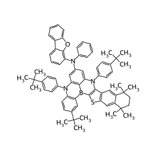 CC(C)(C)c1ccc(N2c3ccc(C(C)(C)C)cc3B3c4sc5cc6c(cc5c4N(c4ccc(C(C)(C)C)cc4)c4cc(N(c5ccccc5)c5cccc7c5oc5ccccc57)cc2c43)C(C)(C)CCC6(C)C)cc1